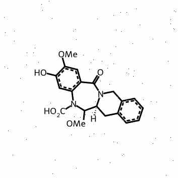 COc1cc2c(cc1O)N(C(=O)O)C(OC)[C@@H]1Cc3ccccc3CN1C2=O